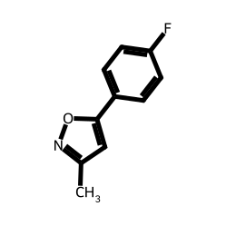 Cc1cc(-c2ccc(F)cc2)on1